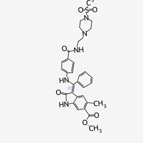 COC(=O)c1cc2c(cc1C)/C(=C(/Nc1ccc(C(=O)NCCN3CCN(S(C)(=O)=O)CC3)cc1)c1ccccc1)C(=O)N2